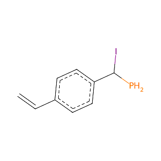 C=Cc1ccc(C(P)I)cc1